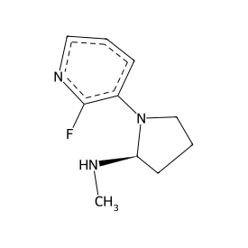 CN[C@@H]1CCCN1c1cccnc1F